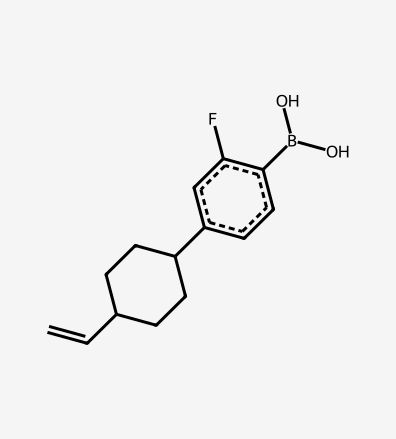 C=CC1CCC(c2ccc(B(O)O)c(F)c2)CC1